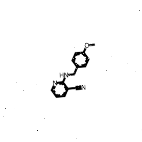 COc1ccc(CNc2ncccc2C#N)cc1